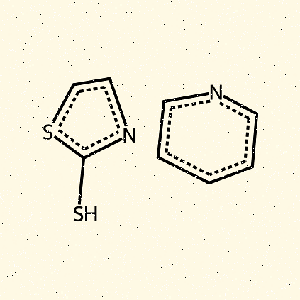 Sc1nccs1.c1ccncc1